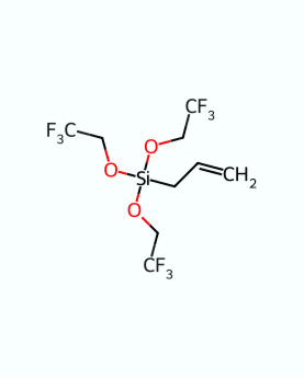 C=CC[Si](OCC(F)(F)F)(OCC(F)(F)F)OCC(F)(F)F